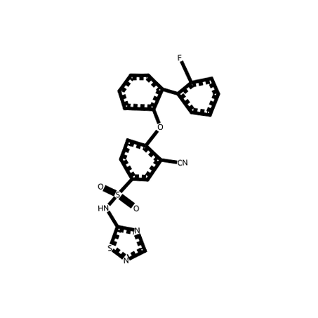 N#Cc1cc(S(=O)(=O)Nc2ncns2)ccc1Oc1ccccc1-c1ccccc1F